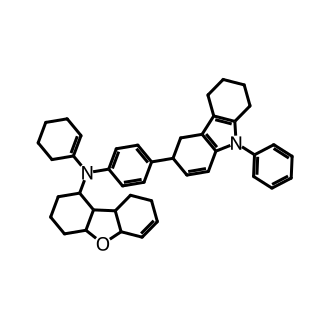 C1=CC2OC3CCCC(N(C4=CCCCC4)c4ccc(C5C=Cc6c(c7c(n6-c6ccccc6)CCCC7)C5)cc4)C3C2CC1